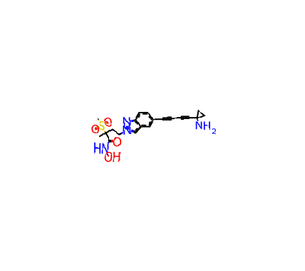 CC(CCn1cc2cc(C#CC#CC3(N)CC3)ccc2n1)(C(=O)NO)S(C)(=O)=O